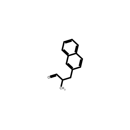 CC(C=O)Cc1ccc2ccccc2c1